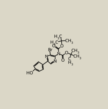 CC(C)(C)OC(=O)N(C(=O)OC(C)(C)C)c1ncc(-c2ccc(O)cc2)nc1Br